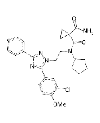 COc1ccc(-c2nc(-c3ccncc3)nn2CCN(C(=O)C2(C(N)=O)CC2)C2CCCC2)cc1Cl